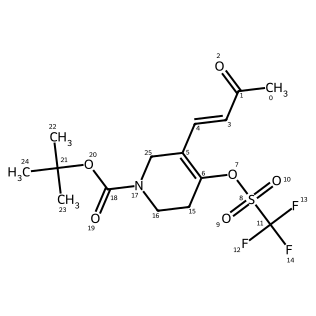 CC(=O)/C=C/C1=C(OS(=O)(=O)C(F)(F)F)CCN(C(=O)OC(C)(C)C)C1